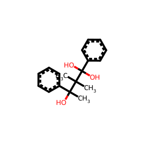 CC(O)(c1ccccc1)C(C)(C)C(O)(O)c1ccccc1